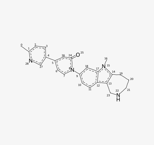 Cc1ccc(-c2ccn(-c3ccc4c5c(n(C)c4c3)CCCNC5)c(=O)c2)cn1